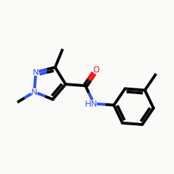 Cc1cccc(NC(=O)c2cn(C)nc2C)c1